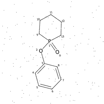 O=P1(Oc2ccccc2)CCCCC1